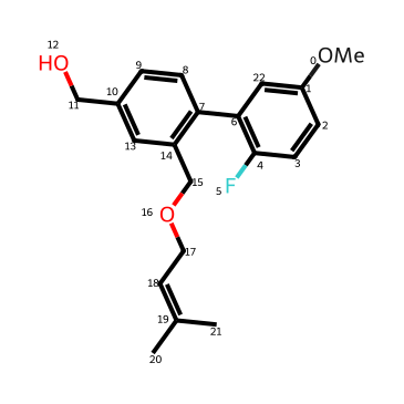 COc1ccc(F)c(-c2ccc(CO)cc2COCC=C(C)C)c1